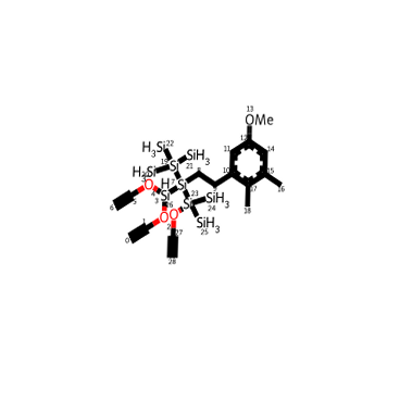 C#CO[SiH](OC#C)[Si](CCc1cc(OC)cc(C)c1C)([Si]([SiH3])([SiH3])[SiH3])[Si]([SiH3])([SiH3])OC#C